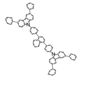 c1ccc(-c2ccc3c(c2)c2cc(-c4ccccc4)ccc2n3-c2ccc(-c3ccc(-c4ccc(-n5c6ccc(-c7ccccc7)cc6c6cc(-c7ccccc7)ccc65)cc4)c4ccccc34)cc2)cc1